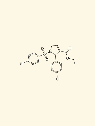 CCOC(=O)C1=CCN(S(=O)(=O)c2ccc(Br)cc2)C1c1ccc(Cl)cc1